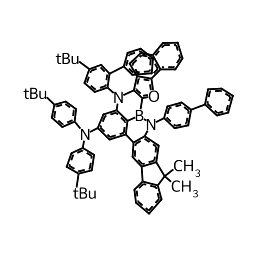 CC(C)(C)c1ccc(N(c2ccc(C(C)(C)C)cc2)c2cc3c4c(c2)N(c2ccc(C(C)(C)C)cc2-c2ccccc2)c2c(oc5c2ccc2ccccc25)B4N(c2ccc(-c4ccccc4)cc2)c2cc4c(cc2-3)-c2ccccc2C4(C)C)cc1